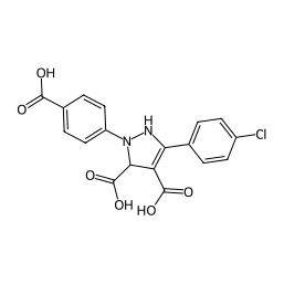 O=C(O)C1=C(c2ccc(Cl)cc2)NN(c2ccc(C(=O)O)cc2)C1C(=O)O